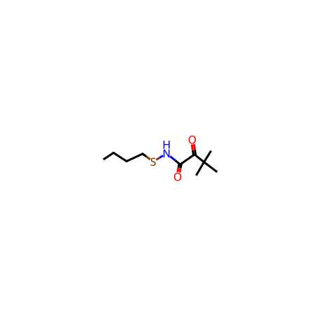 CCCCSNC(=O)C(=O)C(C)(C)C